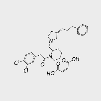 O=C(Cc1ccc(Cl)c(Cl)c1)N1CCCCC1CN1CCC(=CCCc2ccccc2)C1.O=C(O)/C=C\C(=O)O